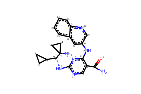 NC(=O)c1cnc(N[C@H](C2CC2)C2(N)CC2)nc1Nc1cnc2ccccc2c1